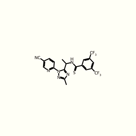 Cc1nc(C(C)NC(=S)c2cc(C(F)(F)F)cc(C(F)(F)F)c2)n(-c2ccc(C#N)cn2)n1